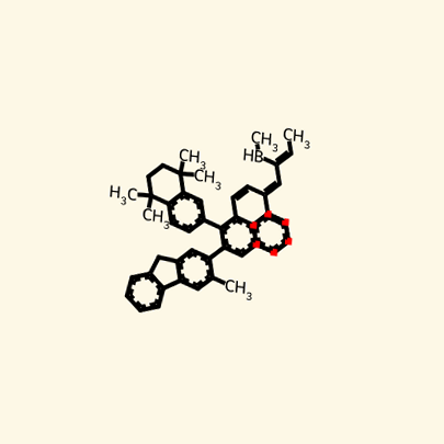 CBC(=C\C)/C=C(\C=C/c1c2c(cc(-c3cc4c(cc3C)-c3ccccc3C4)c1-c1ccc3c(c1)C(C)(C)CCC3(C)C)CCC=C2)c1ccccc1